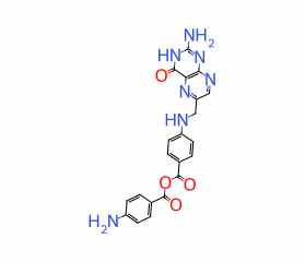 Nc1ccc(C(=O)OC(=O)c2ccc(NCc3cnc4nc(N)[nH]c(=O)c4n3)cc2)cc1